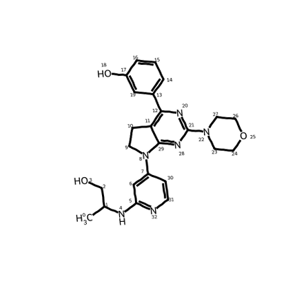 CC(CO)Nc1cc(N2CCc3c(-c4cccc(O)c4)nc(N4CCOCC4)nc32)ccn1